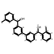 Cc1cccc(C(O)c2cccc(-c3cccc(C(O)c4ccccc4C)c3)c2)c1